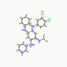 CC(C)/N=c1\cc2n(-c3ccc(Cl)c(Cl)c3)c3ccccc3nc-2cc1Nc1cccnc1